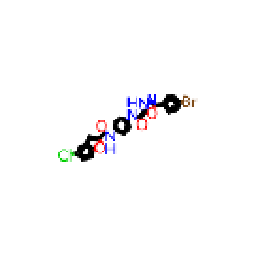 O=C(NC1CCC(NC(=O)c2nnc(-c3ccc(Br)cc3)o2)CC1)c1cc2cc(Cl)ccc2o1